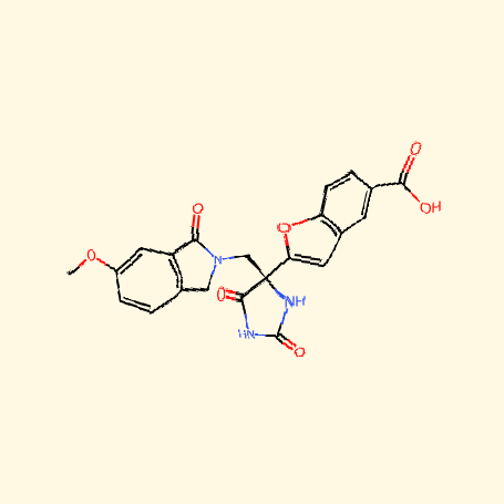 COc1ccc2c(c1)C(=O)N(C[C@@]1(c3cc4cc(C(=O)O)ccc4o3)NC(=O)NC1=O)C2